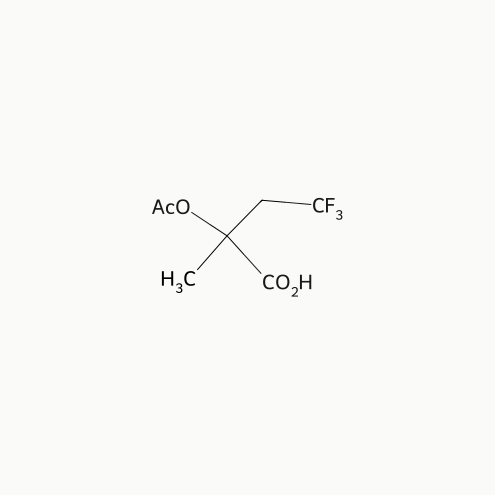 CC(=O)OC(C)(CC(F)(F)F)C(=O)O